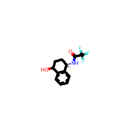 O=C(N[C@H]1CCC(O)c2ccccc21)C(F)(F)F